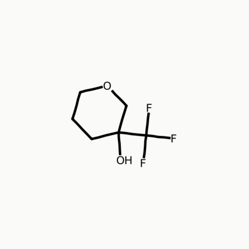 OC1(C(F)(F)F)CCCOC1